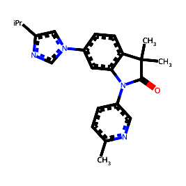 Cc1ccc(N2C(=O)C(C)(C)c3ccc(-n4cnc(C(C)C)c4)cc32)cn1